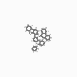 c1ccc(-n2c3ccccc3c3c2ccc2c4c5oc6ccccc6c5ccc4n(-c4cc5ccccc5c5ccccc45)c23)cc1